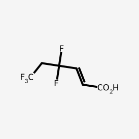 O=C(O)C=CC(F)(F)CC(F)(F)F